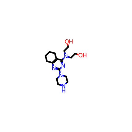 OCCN(CCO)c1nc(N2CCNCC2)nc2c1CCCC2